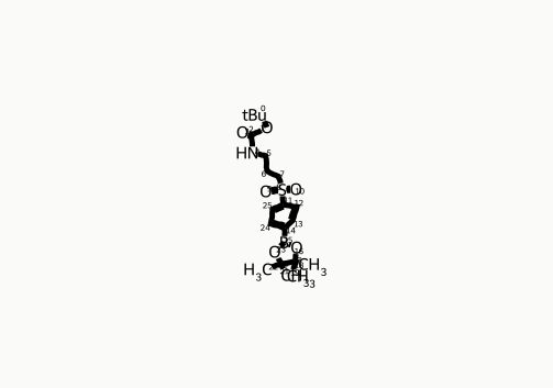 CC(C)(C)OC(=O)NCCCS(=O)(=O)c1ccc(B2OC(C)(C)C(C)(C)O2)cc1